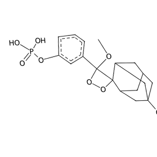 COC1(c2cccc(OP(=O)(O)O)c2)OOC12C1CC3CC2CC(Cl)(C3)C1